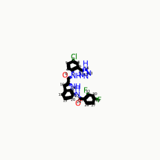 O=C(Nc1ccc(Cl)cc1-c1nnn[nH]1)c1cc2cccc(NC(=O)c3ccc(F)cc3F)c2[nH]1